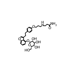 NC(=O)CCNCCCOc1ccc(CCc2coc3cccc(O[C@@H]4O[C@H](CO)[C@@H](O)[C@H](O)[C@H]4O)c23)cc1